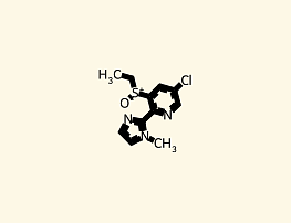 CC[S+]([O-])c1cc(Cl)cnc1-c1nccn1C